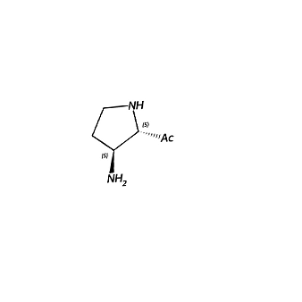 CC(=O)[C@H]1NCC[C@@H]1N